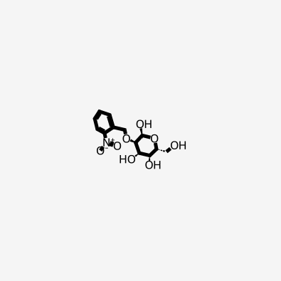 O=[N+]([O-])c1ccccc1CO[C@@H]1[C@@H](O)[C@@H](O)[C@@H](CO)O[C@@H]1O